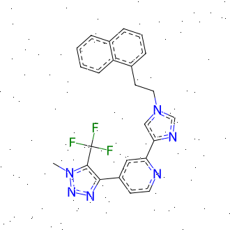 Cn1nnc(-c2ccnc(-c3cn(CCc4cccc5ccccc45)cn3)c2)c1C(F)(F)F